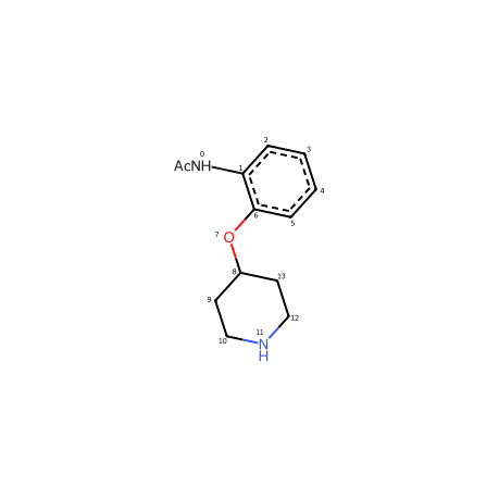 CC(=O)Nc1ccccc1OC1CCNCC1